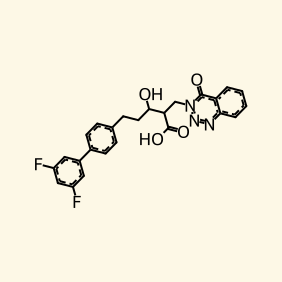 O=C(O)C(Cn1nnc2ccccc2c1=O)C(O)CCc1ccc(-c2cc(F)cc(F)c2)cc1